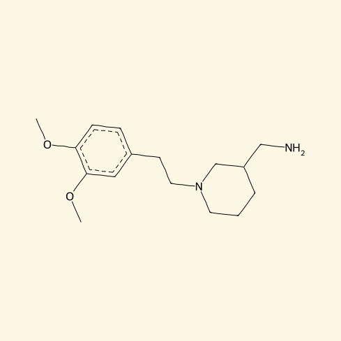 COc1ccc(CCN2CCCC(CN)C2)cc1OC